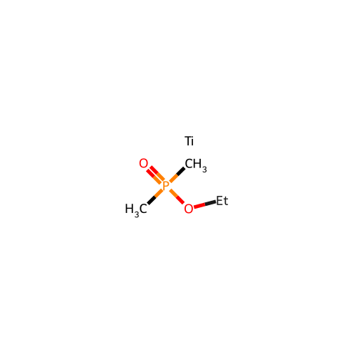 CCOP(C)(C)=O.[Ti]